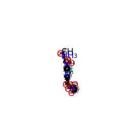 CC(=O)NC[C@H]1CN(c2ccc(N3CC4C(C3)C4C(=O)OC(=O)N3C(=O)CCC3=O)c(F)c2)C(=O)O1